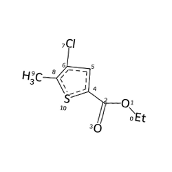 CCOC(=O)c1cc(Cl)c(C)s1